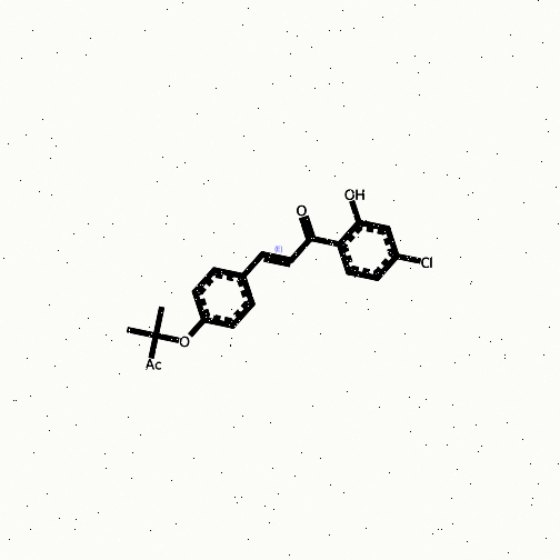 CC(=O)C(C)(C)Oc1ccc(/C=C/C(=O)c2ccc(Cl)cc2O)cc1